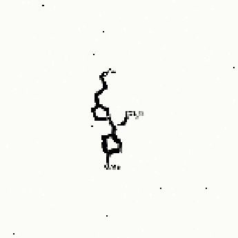 CCOC(=O)C[C@@H](c1ccc(OC)nc1)N1CCC(CCCC(C)=O)C1